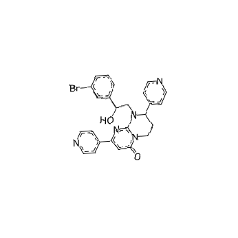 O=c1cc(-c2ccncc2)nc2n1CCC(c1ccncc1)N2CC(O)c1cccc(Br)c1